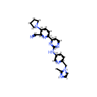 Cc1nccn1Cc1ccc(Nc2nccc(-c3ccc(N4CCCC4)c(C#N)n3)n2)cn1